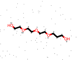 OCCCOCCOCCOCCO